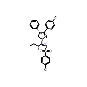 CCN/C(=N\S(=O)(=O)c1ccc(Cl)cc1)N1C[C@H](c2ccccc2)C(c2ccc(Cl)cc2)=N1